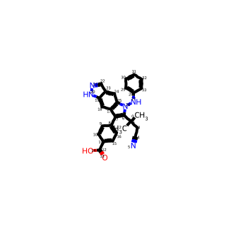 CC(C)(CC#N)c1c(-c2ccc(C(=O)O)cc2)c2cc3[nH]ncc3cc2n1Nc1ccccc1